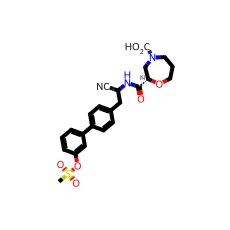 CS(=O)(=O)Oc1cccc(-c2ccc(CC(C#N)NC(=O)[C@@H]3CN(C(=O)O)CCCO3)cc2)c1